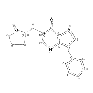 O=c1c2scc(-c3ccccc3)c2ncn1C[C@@H]1CCCO1